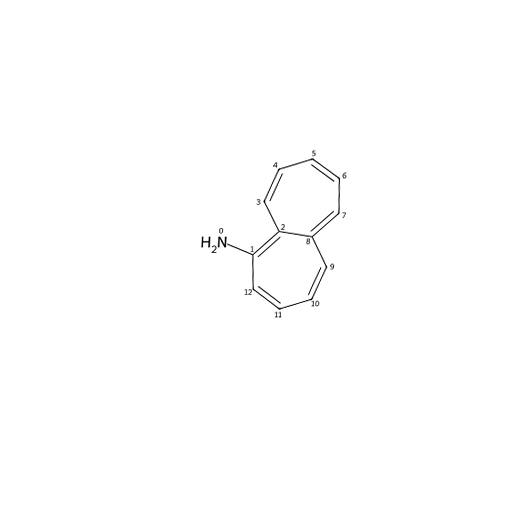 NC1=C2C=CC=CC=C2C=CC=C1